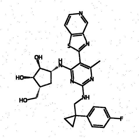 Cc1nc(NCC2(c3ccc(F)cc3)CC2)nc(N[C@@H]2C[C@H](CO)[C@@H](O)[C@H]2O)c1-c1nc2cnccc2s1